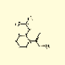 C=CC(=O)N1CCCCC1CC(C)C